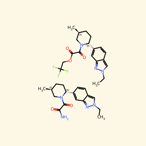 CCn1cc2ccc([C@H]3CC[C@H](C)CN3C(=O)C(=O)OCC(F)(F)F)cc2n1.CCn1cc2ccc([C@H]3CC[C@H](C)CN3C(=O)C(N)=O)cc2n1